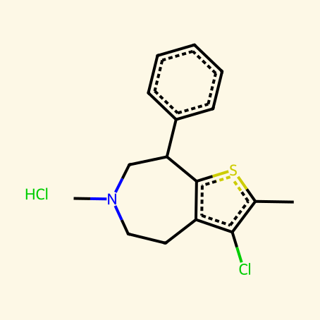 Cc1sc2c(c1Cl)CCN(C)CC2c1ccccc1.Cl